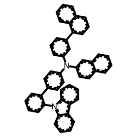 c1cc(-c2cccc3ccccc23)cc(N(c2ccc(-c3ccccc3-n3c4ccccc4c4ccccc43)cc2)c2ccc3ccccc3c2)c1